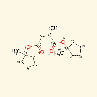 CC(CC(=O)OC1(C)CCCC1)C(=O)OC1(C)CCCC1